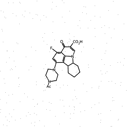 CC(=O)N1CCN(c2cc(F)c3c(=O)c(C(=O)O)cn4c3c2C2CCCCC24)CC1